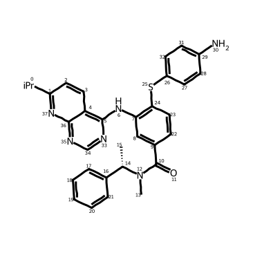 CC(C)c1ccc2c(Nc3cc(C(=O)N(C)[C@@H](C)c4ccccc4)ccc3Sc3ccc(N)cc3)ncnc2n1